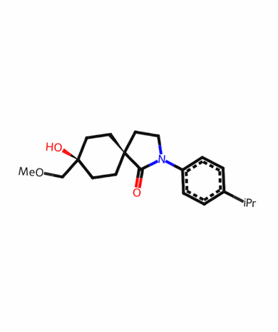 COC[C@]1(O)CC[C@]2(CCN(c3ccc(C(C)C)cc3)C2=O)CC1